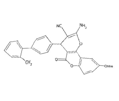 COc1ccc2oc(=O)c3c(c2c1)OC(N)=C(C#N)C3c1ccc(-c2ccccc2C)cc1